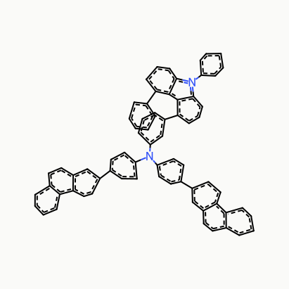 c1ccc(-c2cccc3c2c2c(-c4cccc(N(c5ccc(-c6ccc7c(ccc8ccccc87)c6)cc5)c5ccc(-c6ccc7c(ccc8ccccc87)c6)cc5)c4)cccc2n3-c2ccccc2)cc1